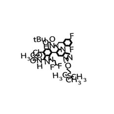 CC(C)(C)OC(=O)N[C@@H](Cc1cc(F)cc(F)c1)c1nc2cnn(COCCS(C)(C)C)c2cc1-c1ccc(Cl)c2c(NS(C)(=O)=O)nn(CC(F)F)c12